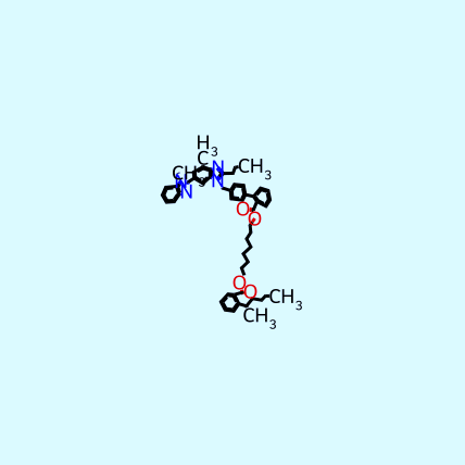 CCCCC(C)c1ccccc1C(=O)OCCCCCCCCOC(=O)c1ccccc1-c1ccc(Cn2c(CCC)nc3c(C)cc(-c4nc5ccccc5n4C)cc32)cc1